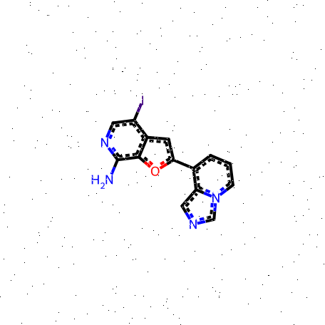 Nc1ncc(I)c2cc(-c3cccn4cncc34)oc12